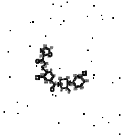 CC1CN(C(=O)c2ccc(SCC(=O)c3ncco3)c(Cl)c2)CCN1c1cccc(Cl)c1